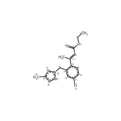 CCOC(=O)/C=C(\C)c1ccc(Cl)cc1Cn1nnc(C)n1